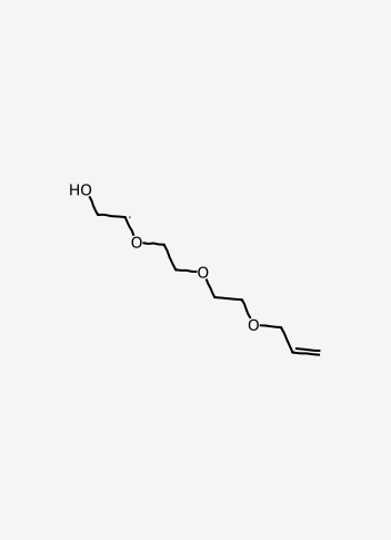 C=CCOCCOCCO[CH]CO